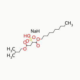 CCCCCCCCCCOC(=O)C(CC(=O)OCCC(C)C)S(=O)(=O)O.[NaH]